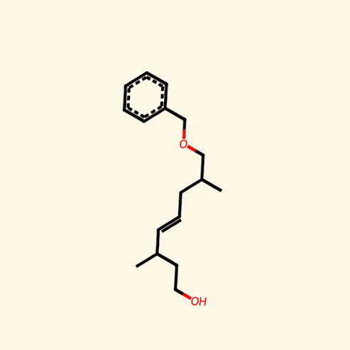 CC(C=CCC(C)COCc1ccccc1)CCO